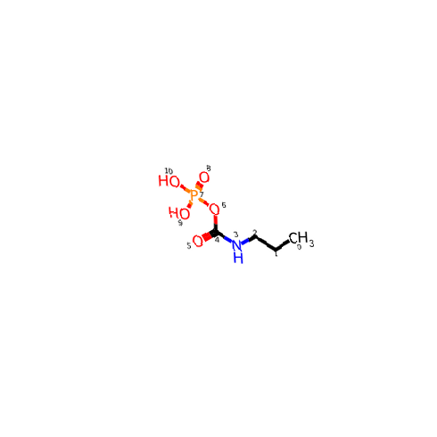 CCCNC(=O)OP(=O)(O)O